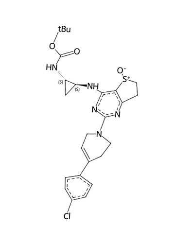 CC(C)(C)OC(=O)N[C@H]1C[C@@H]1Nc1nc(N2CC=C(c3ccc(Cl)cc3)CC2)nc2c1[S+]([O-])CC2